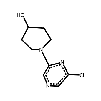 OC1CCN(c2cncc(Cl)n2)CC1